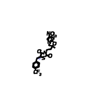 CC1(CCN2C(=O)S/C(=C\c3ccc(C(F)(F)F)cc3)C2=O)Cn2cc([N+](=O)[O-])nc2O1